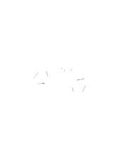 COc1cc(OC)cc(C(=O)N2CCc3cc(O)c(OC)cc3C2)c1